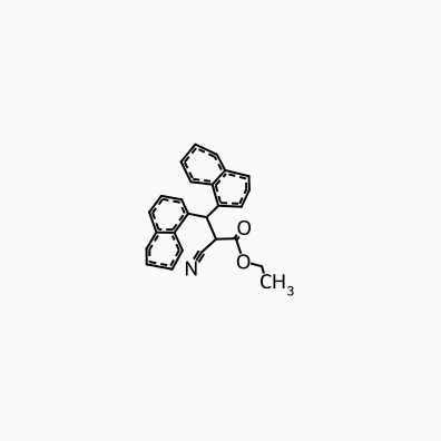 CCOC(=O)C(C#N)C(c1cccc2ccccc12)c1cccc2ccccc12